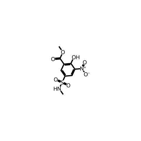 CNS(=O)(=O)c1cc(C(=O)OC)c(O)c([N+](=O)[O-])c1